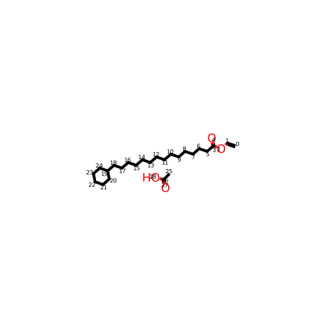 C=COC(=O)CCCCCCCCCCCCCCC1CCCCC1.CC(=O)O